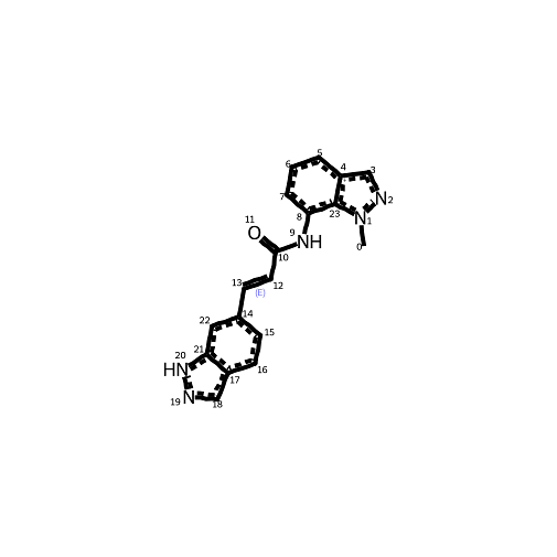 Cn1ncc2cccc(NC(=O)/C=C/c3ccc4cn[nH]c4c3)c21